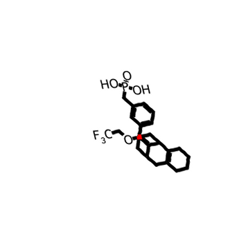 O=P(O)(O)Cc1cccc(/C(OCC(F)(F)F)=C2/C3CCCC2C2=C(CCCC2)C3)c1